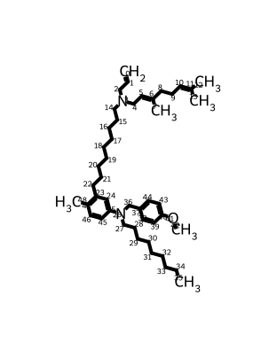 C=CCN(C/C=C(\C)CCC=C(C)C)CCCCCCCCCc1cc(N(CCCCCCCCC)Cc2ccc(OC)cc2)ccc1C